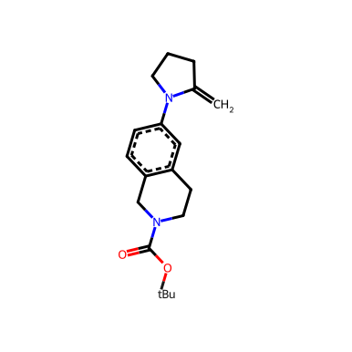 C=C1CCCN1c1ccc2c(c1)CCN(C(=O)OC(C)(C)C)C2